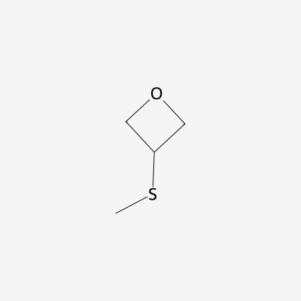 CSC1COC1